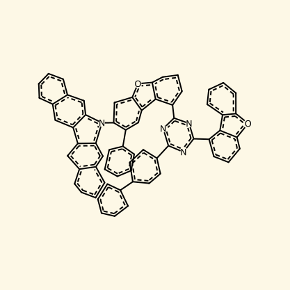 c1ccc(-c2ccc(-c3nc(-c4cccc5oc6ccccc6c45)nc(-c4cccc5oc6cc(-n7c8cc9ccccc9cc8c8cc9ccccc9cc87)c(-c7ccccc7)cc6c45)n3)cc2)cc1